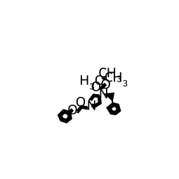 CC(C)(C)OC(=O)N(C1CCN(CC(=O)COc2ccccc2)CC1)[C@@H]1C[C@H]1c1ccccc1